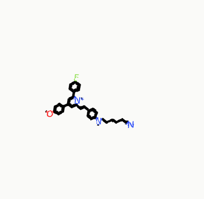 COc1ccc(-c2cc(/C=C/c3ccc(N(C)CCCCCC#N)cc3)[n+](C)c(-c3ccc(F)cc3)c2)cc1